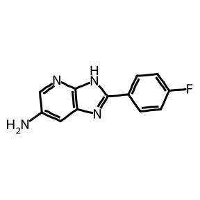 Nc1cnc2[nH]c(-c3ccc(F)cc3)nc2c1